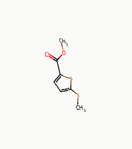 COC(=O)c1ccc(SC)s1